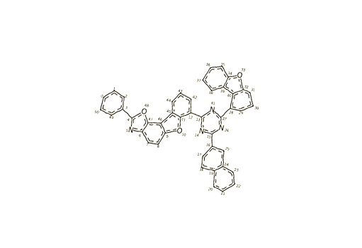 c1ccc(-c2nc3ccc4oc5c(-c6nc(-c7ccc8ccccc8c7)nc(-c7cccc8oc9ccccc9c78)n6)cccc5c4c3o2)cc1